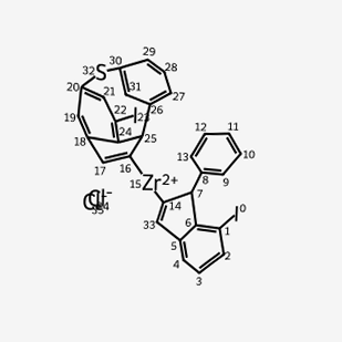 Ic1cccc2c1C(c1ccccc1)[C]([Zr+2][C]1=Cc3cc4cc(I)c3C1c1cccc(c1)S4)=C2.[Cl-].[Cl-]